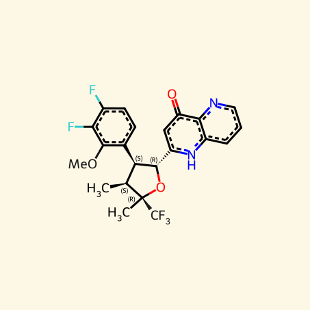 COc1c([C@H]2[C@H](c3cc(=O)c4ncccc4[nH]3)O[C@@](C)(C(F)(F)F)[C@H]2C)ccc(F)c1F